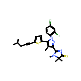 Cc1c(C2=NC(=S)C(C)(C)N2C)nn(-c2ccc(Cl)cc2Cl)c1-c1ccc(C#CCC(C)C)s1